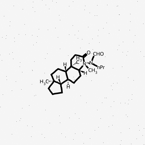 CCCN(C=O)[N+]1(C)C(=O)CC[C@@]2(C)[C@H]1CC[C@H]1[C@@H]3CCC[C@@]3(C)CC[C@@H]12